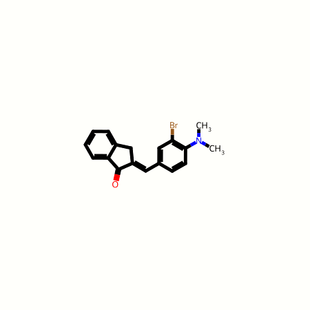 CN(C)c1ccc(/C=C2\Cc3ccccc3C2=O)cc1Br